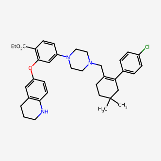 CCOC(=O)c1ccc(N2CCN(CC3=C(c4ccc(Cl)cc4)CC(C)(C)CC3)CC2)cc1Oc1ccc2c(c1)CCCN2